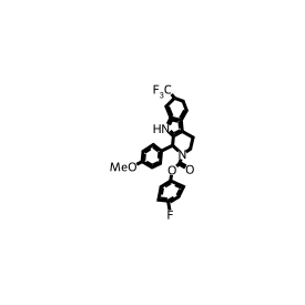 COc1ccc(C2c3[nH]c4c(c3CCN2C(=O)Oc2ccc(F)cc2)=CCC(C(F)(F)F)C=4)cc1